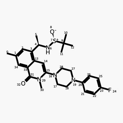 Cc1cc([C@@H](C)N[S@+]([O-])C(C)(C)C)c2cc(N3CCN(c4ccc(F)cc4)CC3)n(C)c(=O)c2c1